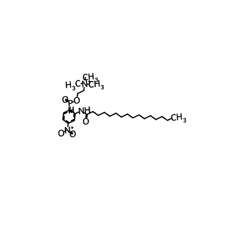 CCCCCCCCCCCCCCCC(=O)Nc1cc([N+](=O)[O-])ccc1[PH](=O)OCC[N+](C)(C)C